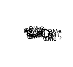 COc1ccc(-c2cnoc2-c2cc(OC)c(OC)c(OC)c2)cc1OC(=O)N1CCN(CCNC2=C3C[C@@H](C)C[C@H](OC)[C@@H](O)[C@@H](C)/C=C(\C)[C@H](OC(N)=O)[C@@H](OC)/C=C\C=C(/C)C(=O)CC(=CC2=O)C3=O)CC1